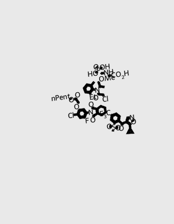 CCCCCOC(=O)COc1cc(N2C(=O)C3=C(CCCC3)C2=O)c(F)cc1Cl.CCc1cccc(C)c1N(C(=O)CCl)C(C)COC.CS(=O)(=O)c1cc(C(F)(F)F)ccc1C(=O)c1cnoc1C1CC1.O=C(O)CNCP(=O)(O)O